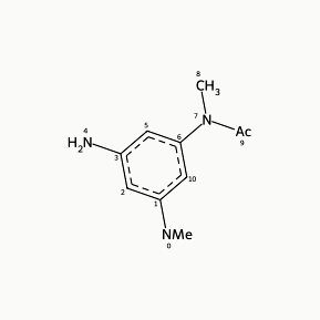 CNc1cc(N)cc(N(C)C(C)=O)c1